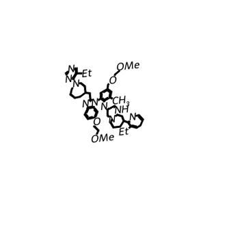 CCC1=CCC=CN=C1C1CCCN(C/C(C=N)=N/c2c(C)cc(COCCOC)cc2-n2c(CC3CCCCN(c4ncncc4CC)CC3)nc3ccc(OCCOC)cc32)CC1